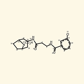 O=C(CCNC(=O)c1cccc(Cl)c1)NC1CC2CCC(C1)N2C(=O)O